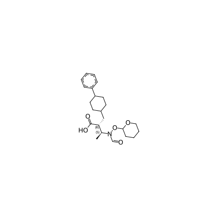 C[C@@H]([C@@H](CC1CCC(c2ccccc2)CC1)C(=O)O)N(C=O)OC1CCCCO1